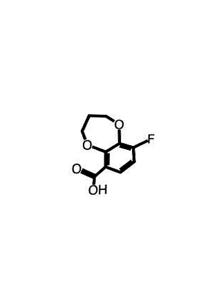 O=C(O)c1ccc(F)c2c1OCCCO2